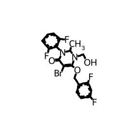 CC1N(CO)C(OCc2ccc(F)cc2F)=C(Br)C(=O)N1c1c(F)cccc1F